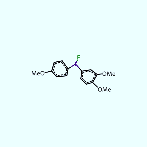 COc1ccc(I(F)c2ccc(OC)c(OC)c2)cc1